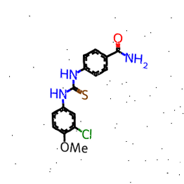 COc1ccc(NC(=S)Nc2ccc(C(N)=O)cc2)cc1Cl